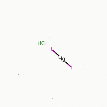 Cl.[I][Hg][I]